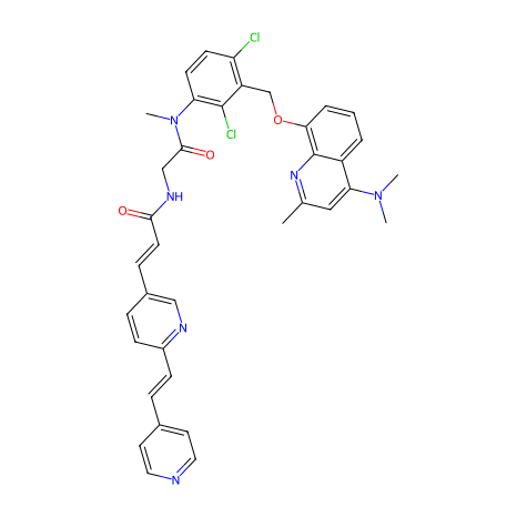 Cc1cc(N(C)C)c2cccc(OCc3c(Cl)ccc(N(C)C(=O)CNC(=O)C=Cc4ccc(C=Cc5ccncc5)nc4)c3Cl)c2n1